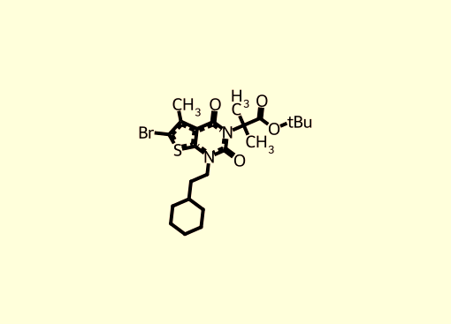 Cc1c(Br)sc2c1c(=O)n(C(C)(C)C(=O)OC(C)(C)C)c(=O)n2CCC1CCCCC1